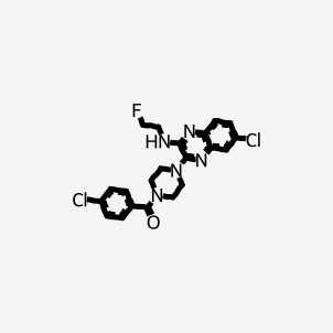 O=C(c1ccc(Cl)cc1)N1CCN(c2nc3cc(Cl)ccc3nc2NCCF)CC1